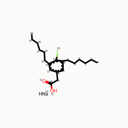 CCCCCCc1cc(CC(=O)O)cc(CCCCCC)c1F.[NaH]